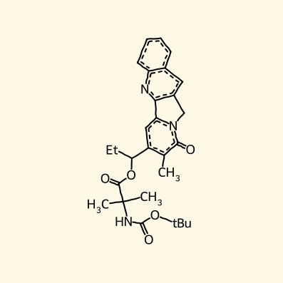 CCC(OC(=O)C(C)(C)NC(=O)OC(C)(C)C)c1cc2n(c(=O)c1C)Cc1cc3ccccc3nc1-2